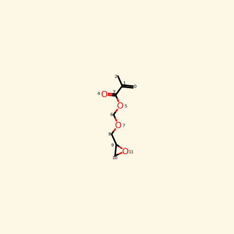 C=C(C)C(=O)OCOCC1CO1